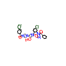 O=C(Nc1cc(Cl)ccc1C(=O)N1C[C@@H](O)[C@H](N2CCN(C(=O)c3ccc(Cl)cc3)CC2)C1)c1ccccc1